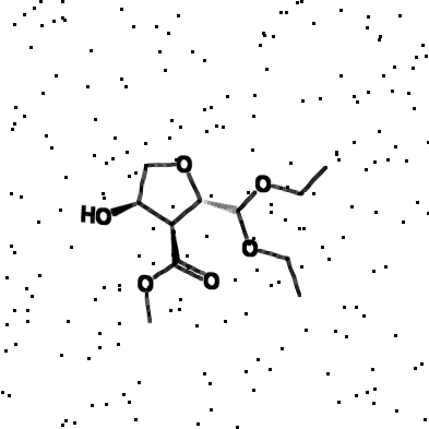 CCOC(OCC)[C@H]1OC[C@H](O)[C@@H]1C(=O)OC